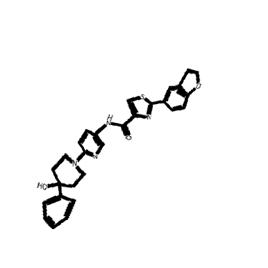 O=C(Nc1ccc(N2CCC(O)(c3ccccc3)CC2)nc1)c1csc(-c2ccc3c(c2)CCO3)n1